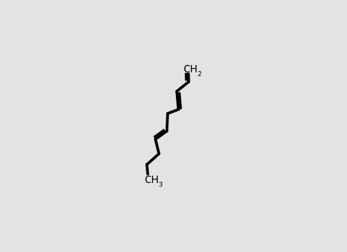 C=CC=CCC=CCCC